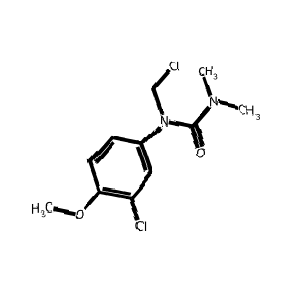 COc1ccc(N(CCl)C(=O)N(C)C)cc1Cl